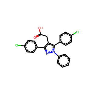 O=C(O)Cc1c(-c2ccc(Cl)cc2)nn(-c2ccccc2)c1-c1ccc(Cl)cc1